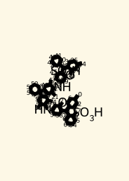 C=c1ccc2c(c1)Oc1cc(Nc3c(C)cc(C4(c5cc(C)c(Nc6ccc7c(c6)Oc6cc(=C)ccc6=C7c6ccccc6S(=O)(=O)O)c(C)c5)CCCCC4)cc3C)ccc1C=2c1ccccc1S(=O)(=O)O